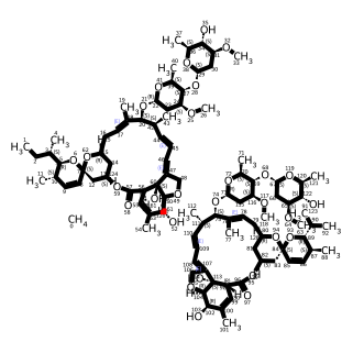 C.CC[C@H](C)[C@H]1O[C@]2(C=C[C@@H]1C)C[C@@H]1C[C@@H](C/C=C(\C)[C@@H](O[C@H]3C[C@H](OC)[C@@H](O[C@H]4C[C@H](OC)[C@@H](O)[C@H](C)O4)[C@H](C)O3)[C@@H](C)/C=C/C=C3\CO[C@@H]4[C@H](O)C(C)=C[C@@H](C(=O)O1)[C@]34O)O2.CO[C@H]1C[C@H](O[C@H]2[C@H](C)O[C@@H](O[C@@H]3/C(C)=C/C[C@@H]4C[C@@H](C[C@]5(C=C[C@H](C)[C@@H](C(C)C)O5)O4)OC(=O)[C@@H]4C=C(C)[C@@H](O)[C@H]5OC/C(=C\C=C\[C@@H]3C)[C@]54O)C[C@@H]2OC)O[C@@H](C)[C@@H]1O